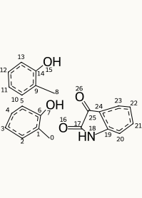 Cc1ccccc1O.Cc1ccccc1O.O=C1Nc2ccccc2C1=O